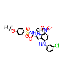 COc1ccc(S(=O)(=O)NC(=O)c2cc3c(Nc4cccc(Cl)c4)ccc([N+](=O)[O-])c3n2C)cc1